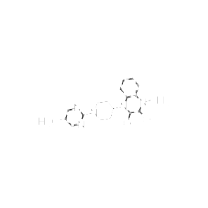 Cc1cnc(N2CCC(n3c(=O)c(=O)n(C)c4ccccc43)CC2)nc1